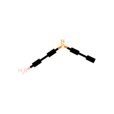 BC#CC#CPC#CC#C